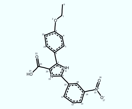 CCOc1ccc(-c2[nH]c(-c3cccc([N+](=O)[O-])c3)nc2C(=O)O)cc1